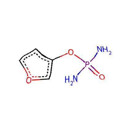 NP(N)(=O)Oc1ccoc1